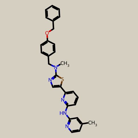 Cc1ccnc(Nc2cccc(-c3cnc(N(C)Cc4ccc(OCc5ccccc5)cc4)s3)n2)c1